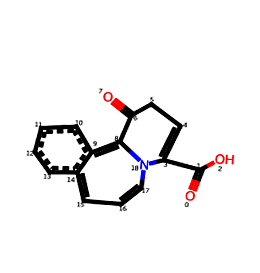 O=C(O)C1=CCC(=O)C2=c3ccccc3=CC=CN12